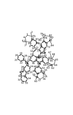 CC1(C)CCC(C)(C)c2cc(C3=Cc4cc(N(c5ccccc5)c5ccc6c(c5)sc5ccccc56)cc5c4B(c4cc6c(cc4N5c4ccc5c(c4)C(C)(C)CCC5(C)C)C(C)(C)CCC6(C)C)c4sc5cc6c(cc5c43)C(C)(C)CCC6(C)C)ccc21